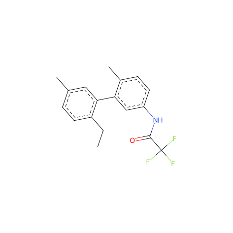 CCc1ccc(C)cc1-c1cc(NC(=O)C(F)(F)F)ccc1C